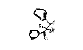 O=C(c1ccccc1)C(Br)(Br)C(=O)c1ccccc1